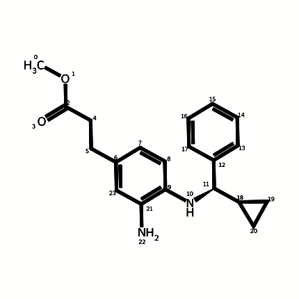 COC(=O)CCc1ccc(N[C@@H](c2ccccc2)C2CC2)c(N)c1